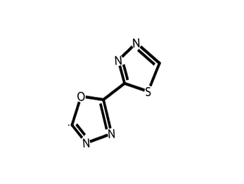 [c]1nnc(-c2nncs2)o1